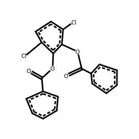 O=C(Oc1c(Cl)ccc(Cl)c1OC(=O)c1ccccc1)c1ccccc1